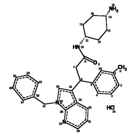 Cc1cccc(C(CC(=O)N[C@H]2CC[C@@H](N)CC2)c2cn(Cc3ccccc3)c3ncccc23)c1.Cl